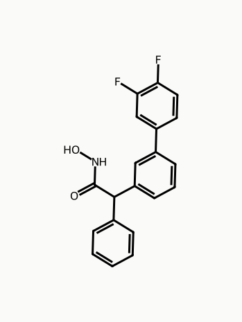 O=C(NO)C(c1ccccc1)c1cccc(-c2ccc(F)c(F)c2)c1